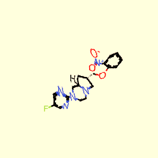 O=[N+]([O-])c1ccccc1OC[C@H]1C[C@H]2CN(c3ncc(F)cn3)CCN2C1